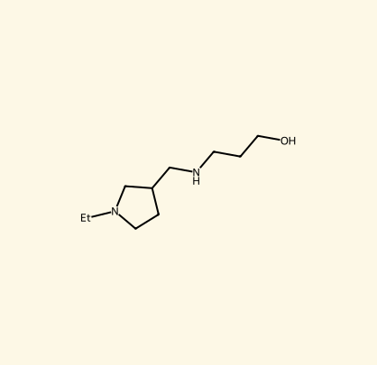 CCN1CCC(CNCCCO)C1